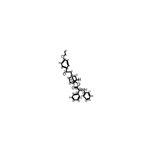 CCOc1ccc(C(=O)C[N+]23CCC(CC2)[C@@H](OC(=O)C(Nc2ccccc2)c2ccccc2)C3)cc1